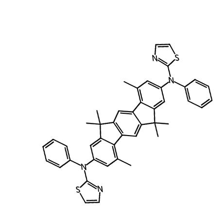 Cc1cc(N(c2ccccc2)c2nccs2)cc2c1-c1cc3c(cc1C2(C)C)-c1c(C)cc(N(c2ccccc2)c2nccs2)cc1C3(C)C